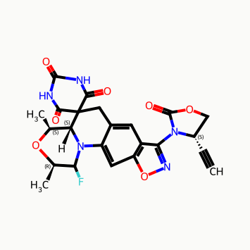 C#C[C@H]1COC(=O)N1c1noc2cc3c(cc12)CC1(C(=O)NC(=O)NC1=O)[C@H]1[C@H](C)O[C@H](C)C(F)N31